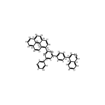 c1ccc(-c2cc(-c3ccc(-c4cncc5ccccc45)cc3)nc(-c3ccc4ccc5cccc6ccc3c4c56)n2)cc1